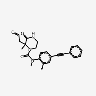 CN(C(=O)N1CCNC(=O)C1(C)CC=O)c1ccc(C#Cc2ccccc2)cc1F